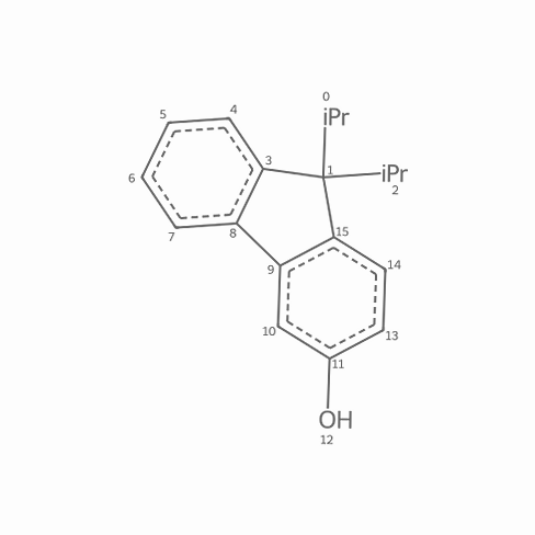 CC(C)C1(C(C)C)c2ccccc2-c2cc(O)ccc21